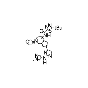 Cn1cc(Nc2nccc(-c3ccc4c(c3)CN([C@H]3CCOC3)CC[C@@H]4NC(=O)c3nnc(C(C)(C)C)s3)n2)cn1